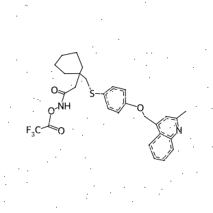 Cc1cc(COc2ccc(SCC3(CC(=O)NOC(=O)C(F)(F)F)CCCCC3)cc2)c2ccccc2n1